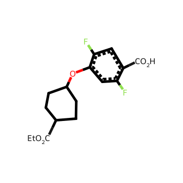 CCOC(=O)C1CCC(Oc2cc(F)c(C(=O)O)cc2F)CC1